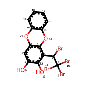 Oc1cc2c(c(C(Br)C(Br)(Br)Br)c1O)Oc1ccccc1O2